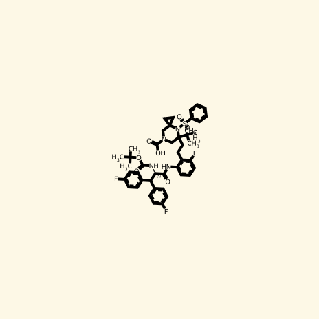 CC(C)(C)OC(=O)N[C@H](C(=O)Nc1cccc(F)c1CCC1(C(C)(C)C)CN(C(=O)O)CC2(CC2)N1S(=O)(=O)c1ccccc1)C(c1ccc(F)cc1)c1ccc(F)cc1